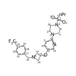 CCCS(=O)(=O)N1CCN(c2ccc(OC3CN(Cc4ccc(C(F)(F)F)cc4)C3)cn2)CC1